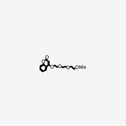 COCCOCCOCCOc1cc(=O)oc2ccccc12